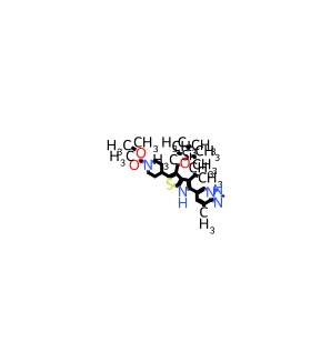 Cc1cc(-c2[nH]c3sc(C4CCN(C(=O)OC(C)(C)C)CC4)c(CO[Si](C(C)C)(C(C)C)C(C)C)c3c2C(C)C)cn2ncnc12